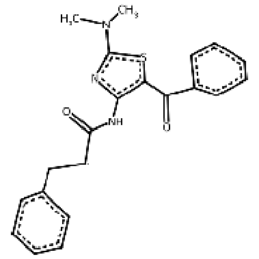 CN(C)c1nc(NC(=O)[CH]Cc2ccccc2)c(C(=O)c2ccccc2)s1